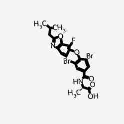 CC(C)Cc1nc2ccc(Oc3c(Br)cc(C(=O)N[C@@H](C)C(=O)O)cc3Br)c(F)c2o1